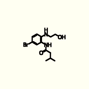 CC(C)CC(=O)Nc1cc(Br)ccc1NCCO